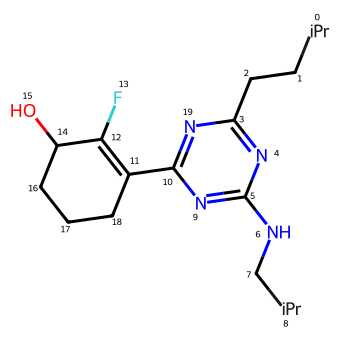 CC(C)CCc1nc(NCC(C)C)nc(C2=C(F)C(O)CCC2)n1